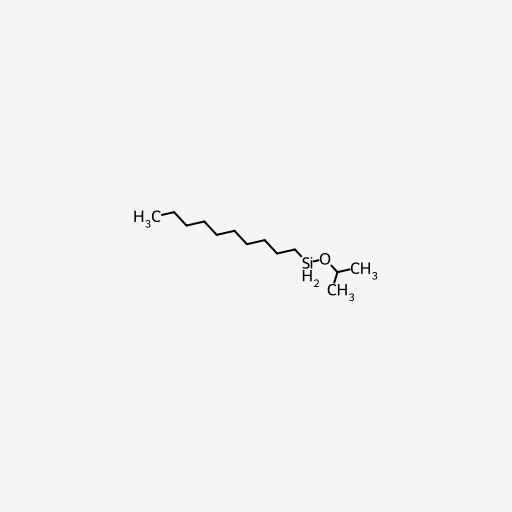 CCCCCCCCCC[SiH2]OC(C)C